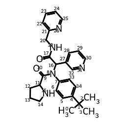 CC(C)(C)c1ccc(N(C(=O)C2CCCN2)C(C(=O)NCc2ccccn2)c2cccnc2)cc1